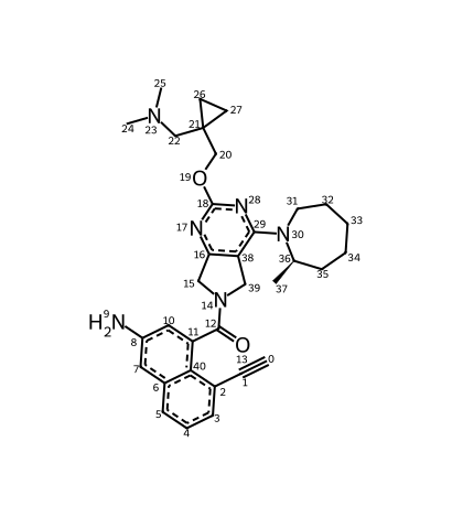 C#Cc1cccc2cc(N)cc(C(=O)N3Cc4nc(OCC5(CN(C)C)CC5)nc(N5CCCCC[C@H]5C)c4C3)c12